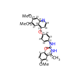 COc1cccc([C@H](C)NC(=O)Nc2ccc(Oc3ccnc4cc(OC)c(OC)cc34)cc2)c1